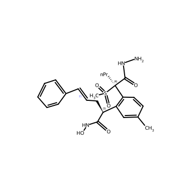 CCC[C@](C(=O)NN)(c1ccc(C)cc1[C@H](C/C=C/c1ccccc1)C(=O)NO)S(C)(=O)=O